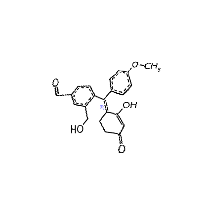 COc1ccc(/C(=C2/CCC(=O)C=C2O)c2ccc(C=O)cc2CO)cc1